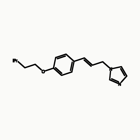 CC(C)CCOc1ccc(C=CCn2ccnc2)cc1